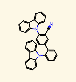 N#Cc1cc(-c2ccccc2-n2c3ccccc3c3ccccc32)ccc1-n1c2ccccc2c2ccccc21